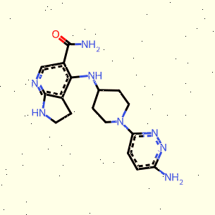 NC(=O)c1cnc2c(c1NC1CCN(c3ccc(N)nn3)CC1)CCN2